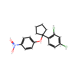 O=[N+]([O-])c1ccc(OC2(c3ccc(Cl)cc3Cl)CCCC2)cc1